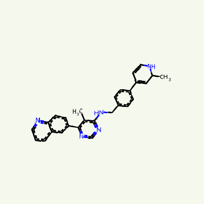 Cc1c(NCc2ccc(C3=CC(C)NC=C3)cc2)ncnc1-c1ccc2ncccc2c1